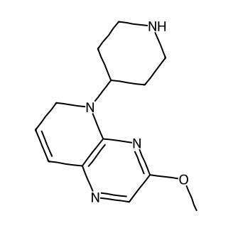 COc1cnc2c(n1)N(C1CCNCC1)CC=C2